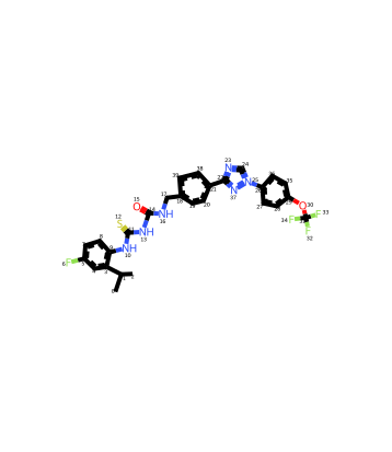 CC(C)c1cc(F)ccc1NC(=S)NC(=O)NCc1ccc(-c2ncn(-c3ccc(OC(F)(F)F)cc3)n2)cc1